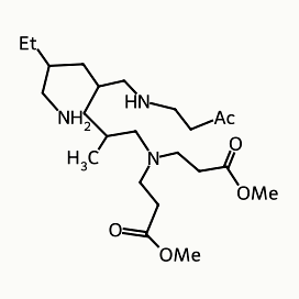 CCC(CN)CC(CNCCC(C)=O)CC(C)CN(CCC(=O)OC)CCC(=O)OC